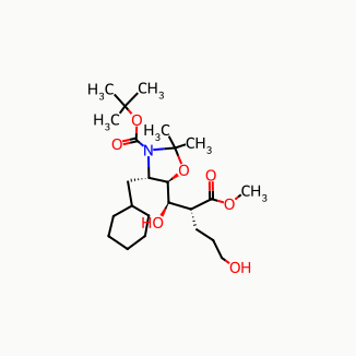 COC(=O)[C@H](CCCO)[C@@H](O)[C@@H]1OC(C)(C)N(C(=O)OC(C)(C)C)[C@H]1CC1CCCCC1